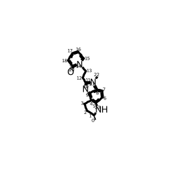 C[C@H]1CCc2c(ccc3c2nc(CCn2ccccc2=O)n3C)N1